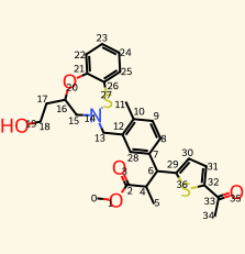 COC(=O)C(C)C(c1ccc(C)c(CN2CC(CCO)Oc3ccccc3S2)c1)c1ccc(C(C)=O)s1